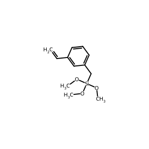 C=Cc1cccc(C[Si](OC)(OC)OC)c1